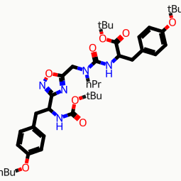 CCCCOc1ccc(CC(NC(=O)OC(C)(C)C)c2noc(CN(CCC)C(=O)NC(Cc3ccc(OC(C)(C)C)cc3)C(=O)OC(C)(C)C)n2)cc1